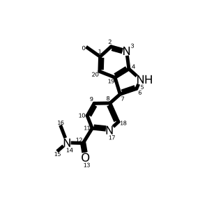 Cc1cnc2[nH]cc(-c3ccc(C(=O)N(C)C)nc3)c2c1